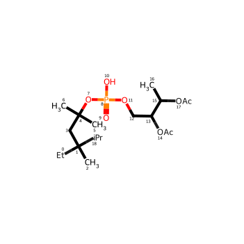 CCC(C)(CC(C)(C)OP(=O)(O)OCC(OC(C)=O)C(C)OC(C)=O)C(C)C